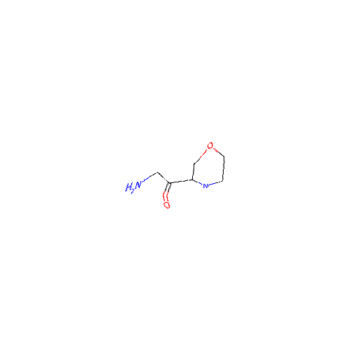 NCC(=O)C1COCC[N]1